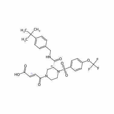 CC(C)(C)c1ccc(CNC(=O)[C@H]2CN(C(=O)/C=C/C(=O)O)CCN2S(=O)(=O)c2ccc(OC(F)(F)F)cc2)cc1